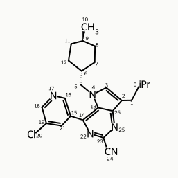 CC(C)Cc1cn(C[C@H]2CC[C@H](C)CC2)c2c(-c3cncc(Cl)c3)nc(C#N)nc12